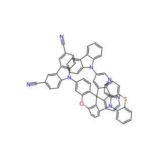 N#Cc1ccc2c(c1)c1cc(C#N)ccc1n2-c1ccc2c(c1)Oc1cccc(N3c4ccccc4Sc4ccccc43)c1C21c2cccnc2-c2ncc(-n3c4ccccc4c4ccccc43)cc21